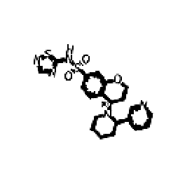 O=S(=O)(Nc1ncns1)c1ccc2c(c1)OCC[C@H]2N1CCCCC1c1cccnc1